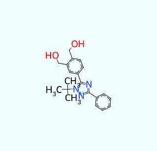 CC(C)(C)n1nc(-c2ccccc2)nc1-c1ccc(CO)c(CO)c1